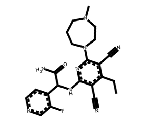 CCc1c(C#N)c(NC(C(N)=O)c2ccncc2F)nc(N2CCCN(C)CC2)c1C#N